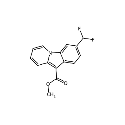 COC(=O)c1c2ccc(C(F)F)cc2n2ccccc12